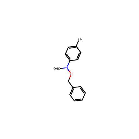 N#Cc1c[c]c(N(C=O)OCc2ccccc2)cc1